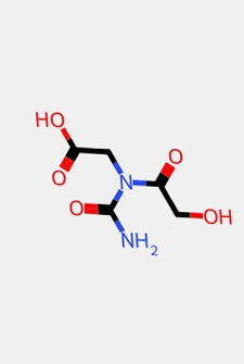 NC(=O)N(CC(=O)O)C(=O)CO